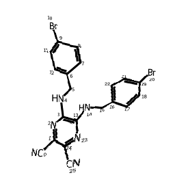 N#Cc1nc(NCc2ccc(Br)cc2)c(NCc2ccc(Br)cc2)nc1C#N